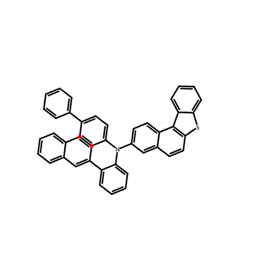 c1ccc(-c2ccc(N(c3ccc4c(ccc5sc6ccccc6c54)c3)c3ccccc3-c3ccc4ccccc4c3)cc2)cc1